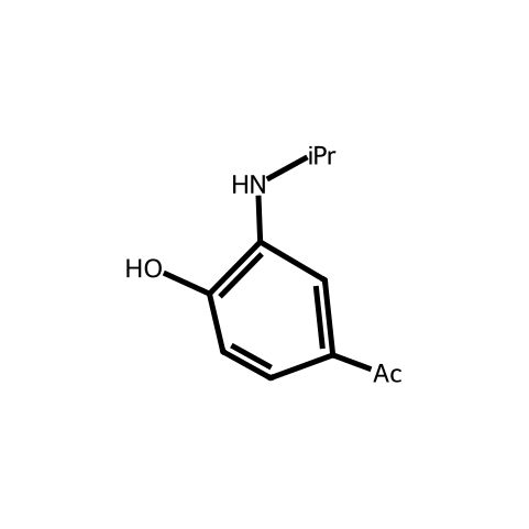 CC(=O)c1ccc(O)c(NC(C)C)c1